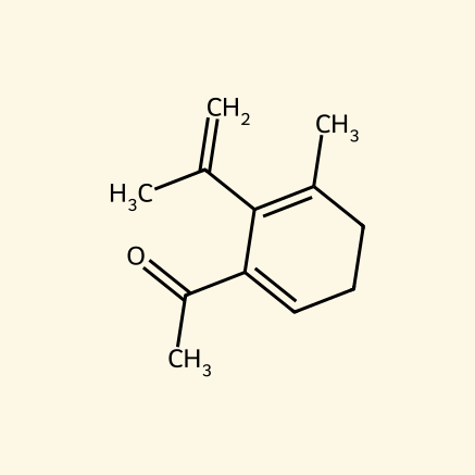 C=C(C)C1=C(C)CCC=C1C(C)=O